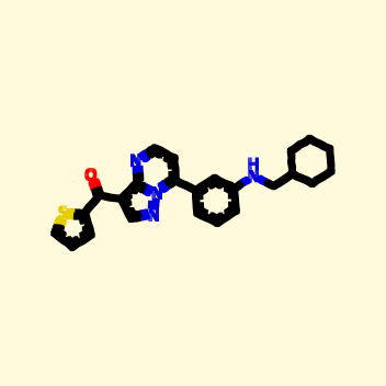 O=C(c1cccs1)c1cnn2c(-c3cccc(NCC4CCCCC4)c3)ccnc12